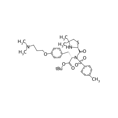 Cc1ccc(S(=O)(=O)N(C(=O)[C@H]2NC(C)(C)CS2)[C@@H](Cc2ccc(OCCCN(C)C)cc2)C(=O)OC(C)(C)C)cc1